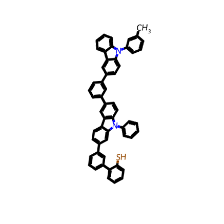 Cc1cccc(-n2c3ccccc3c3cc(-c4cccc(-c5ccc6c(c5)c5ccc(-c7cccc(-c8ccccc8S)c7)cc5n6-c5ccccc5)c4)ccc32)c1